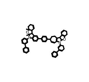 CC12CCC=CC1C1c3cc(-c4ccc(C5C=CC6=C(CC5)C5C7=C(CCC=C7)OC5N6C5=CC(c6ccccc6)=CCC5)cc4)ccc3N(c3cccc(-c4ccccc4)c3)C1(C)O2